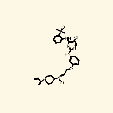 C=CC(=O)N1CCC(N(/C=C/COc2cccc(Nc3ncc(Cl)c(Nc4ccccc4P(C)(C)=O)n3)c2)CC)CC1